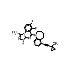 CC1=NNC2N=C(N3CCCCc4c(C#CC5(C(F)(F)F)CC5)cncc43)c3c(ccc(F)c3F)N12